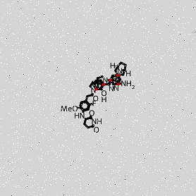 COc1cc(CC(=O)N2CCC3(CCN(c4cccc(N5[C@@H]6CC[C@H]5CN(c5cc(-c7ccccc7O)nnc5N)C6)c4)C3)C2)c(F)cc1N[C@H]1CCC(=O)NC1=O